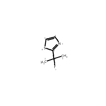 CC(C)(F)c1nccs1